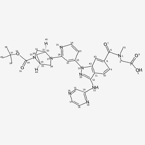 CN(CC(=O)O)C(=O)c1ccc2c(Nc3cnccn3)nn(-c3ccnc(N4C[C@@H]5C[C@H]4CN5C(=O)OC(C)(C)C)c3)c2c1